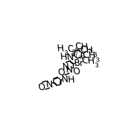 C[C@@H]1[C@@H](C)C(C)(C)[C@@H](C)C[C@H]1Nc1cnn(CC(=O)Nc2ccc(N3CCOCC3)cc2)c(=O)c1Br